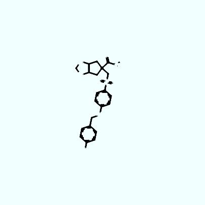 O=C(NO)C1(CS(=O)(=O)c2ccc(OCc3ccc(F)cc3)cc2)CC2OCOC2C1